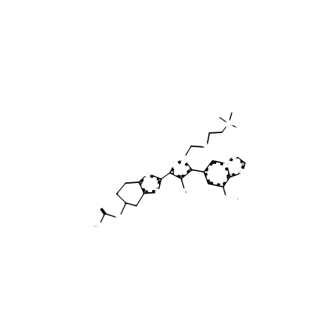 CNC(=O)OC1CCc2nc(-c3nn(COCC[Si](C)(C)C)c(-c4cc(OC)c5ncnn5c4)c3C(C)C)sc2C1